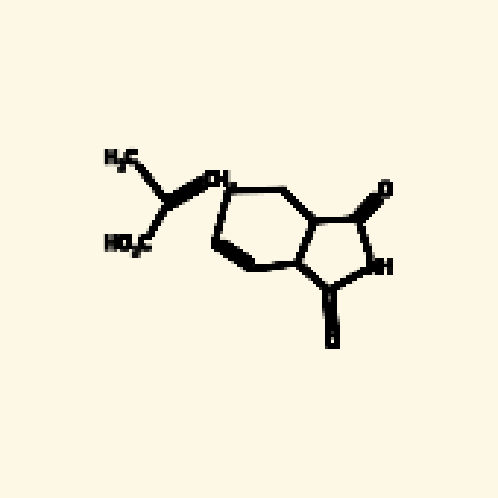 C=C(C)C(=O)O.O=C1NC(=O)C2CCC=CC12